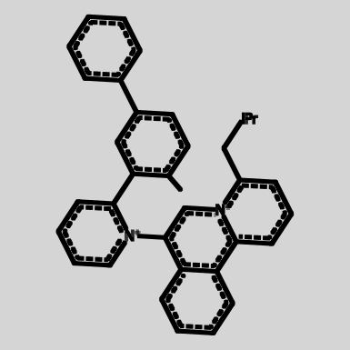 Cc1ccc(-c2ccccc2)cc1-c1cccc[n+]1-c1c[n+]2c(CC(C)C)cccc2c2ccccc12